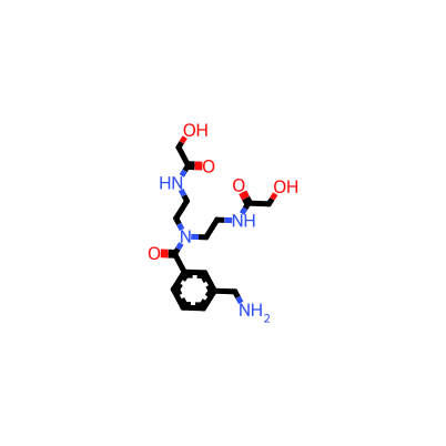 NCc1cccc(C(=O)N(CCNC(=O)CO)CCNC(=O)CO)c1